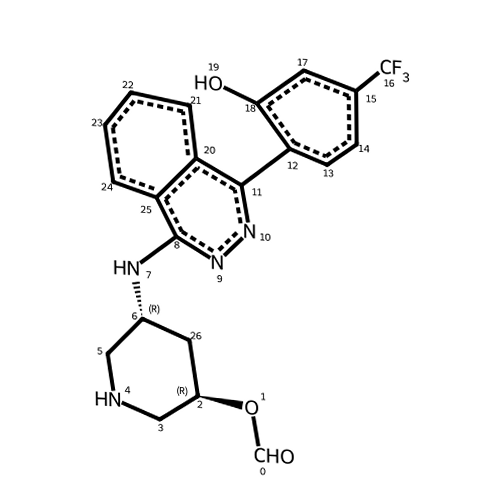 O=CO[C@H]1CNC[C@H](Nc2nnc(-c3ccc(C(F)(F)F)cc3O)c3ccccc23)C1